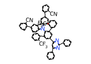 N#Cc1ccccc1-c1ccc2c(c1)c1cc(-c3ccccc3C#N)ccc1n2-c1c(-c2ccccc2C(F)(F)F)cc(-c2cc(-c3ccccc3)nc(-c3ccccc3)n2)cc1-c1ccccc1C(F)(F)F